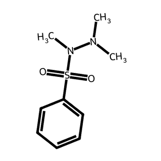 CN(C)N(C)S(=O)(=O)c1ccccc1